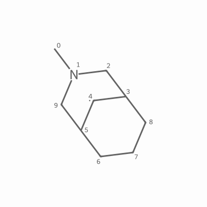 CN1CC2[CH]C(CCC2)C1